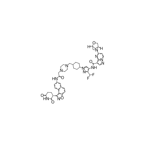 O=C1CC[C@@H](c2noc3ccc4cc(NC(=O)CN5CCN(CC6CCC(n7cc(NC(=O)c8cnn9ccc(N%10C[C@H]%11C[C@@H]%10CO%11)nc89)c(C(F)F)n7)CC6)CC5)ccc4c23)C(=O)N1